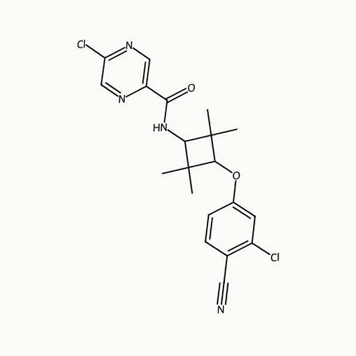 CC1(C)C(NC(=O)c2cnc(Cl)cn2)C(C)(C)C1Oc1ccc(C#N)c(Cl)c1